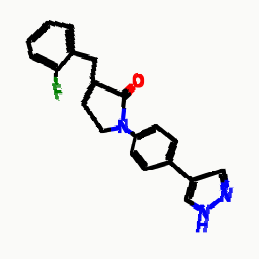 O=C1C(Cc2ccccc2F)CCN1c1ccc(-c2cn[nH]c2)cc1